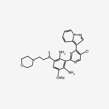 COc1cc(N(C)CCN2CCOCC2)c(N)c(-c2ncc(Cl)c(-c3cnn4ccccc34)n2)c1N